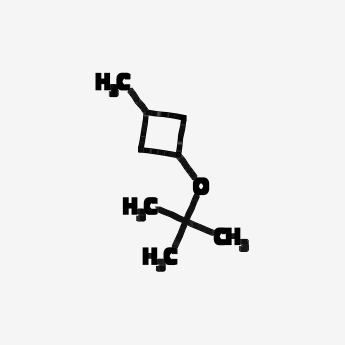 CC1CC(OC(C)(C)C)C1